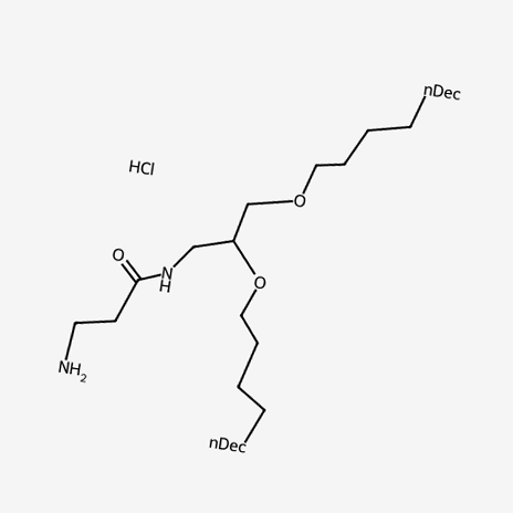 CCCCCCCCCCCCCCOCC(CNC(=O)CCN)OCCCCCCCCCCCCCC.Cl